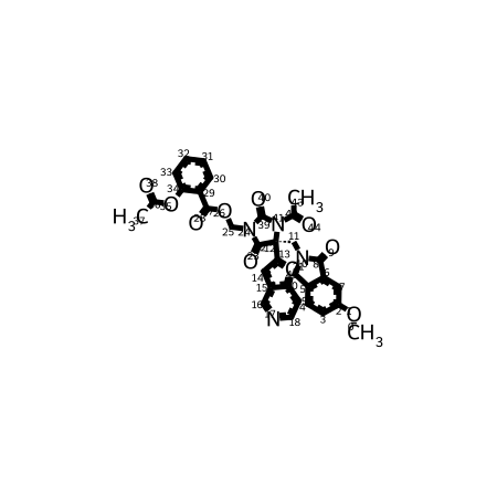 COc1ccc2c(c1)C(=O)N(C[C@]1(c3cc4cnccc4o3)C(=O)N(COC(=O)c3ccccc3OC(C)=O)C(=O)N1C(C)=O)C2